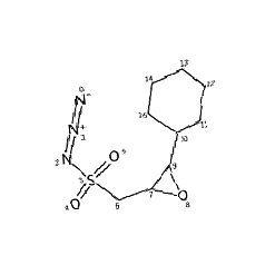 [N-]=[N+]=NS(=O)(=O)CC1OC1C1CCCCC1